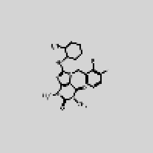 Cn1c(=O)c2c(nc(NC3CCCCC3N)n2Cc2cccc(F)c2F)n(C)c1=O